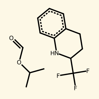 CC(C)OC=O.FC(F)(F)C1CCc2ccccc2N1